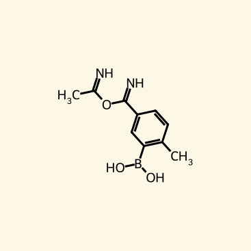 CC(=N)OC(=N)c1ccc(C)c(B(O)O)c1